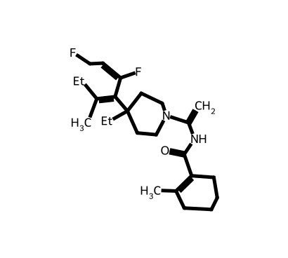 C=C(NC(=O)C1=C(C)CCCC1)N1CCC(CC)(C(=C(\C)CC)/C(F)=C\CF)CC1